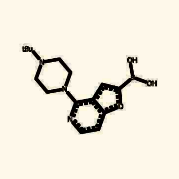 CC(C)(C)N1CCN(c2nccc3oc(B(O)O)cc23)CC1